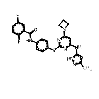 Cc1cc(Nc2cc(N3CCC3)nc(Sc3ccc(NC(=O)c4cc(F)ccc4F)cc3)n2)[nH]n1